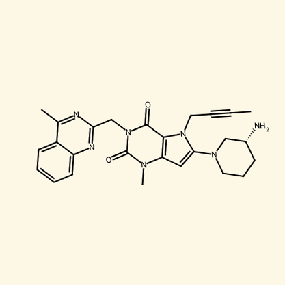 CC#CCn1c(N2CCC[C@@H](N)C2)cc2c1c(=O)n(Cc1nc(C)c3ccccc3n1)c(=O)n2C